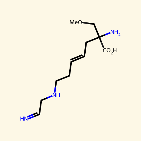 COCC(N)(CC=CCCNCC=N)C(=O)O